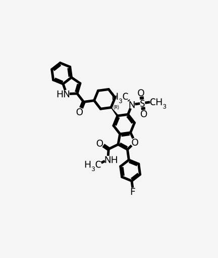 CNC(=O)c1c(-c2ccc(F)cc2)oc2cc(N(C)S(C)(=O)=O)c([C@@H]3CCCC(C(=O)c4cc5ccccc5[nH]4)C3)cc12